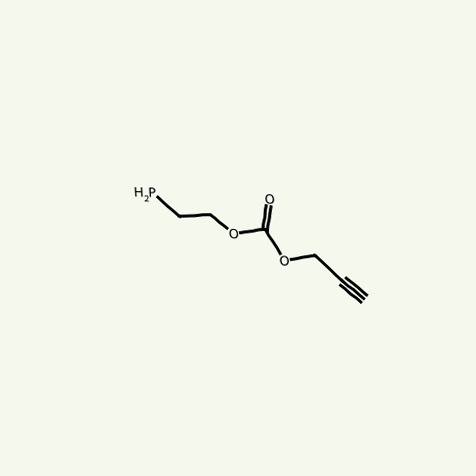 C#CCOC(=O)OCCP